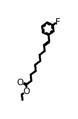 CCOC(=O)CCCCCCCC=Cc1cccc(F)c1